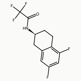 O=C(N[C@H]1CCc2c(F)cc(F)cc2C1)C(F)(F)F